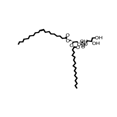 CCCCCCCCC/C=C\CCCCCCCC(=O)OC[C@H](COP(=O)(O)OC[C@@H](O)CO)OC(=O)CCCCCCCCCCCCCCCC